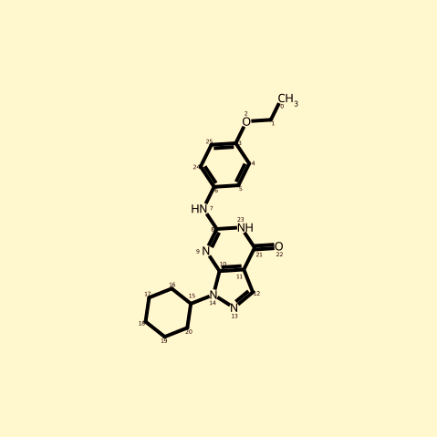 CCOc1ccc(Nc2nc3c(cnn3C3CCCCC3)c(=O)[nH]2)cc1